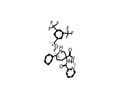 C[C@@H](OC[C@@]1(c2ccccc2)CC[C@@](NC(=O)c2ccccn2)(C(N)=O)CN1)c1cc(C(F)(F)F)cc(C(F)(F)F)c1